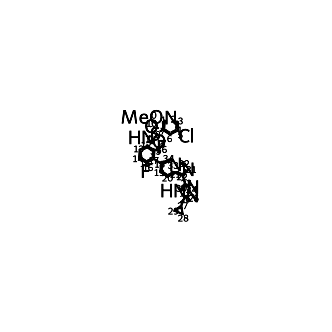 COc1ncc(Cl)cc1S(=O)(=O)Nc1ccc(F)c(-c2ccc3c(-c4nnc(C5CC5)[nH]4)ncn3c2)c1F